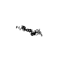 CC1(C)Cc2cccc(CN3CCC4(CC3)CCN(C(=O)c3cccnc3N)CC4)c2O1